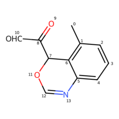 Cc1cccc2c1C(C(=O)C=O)OC=N2